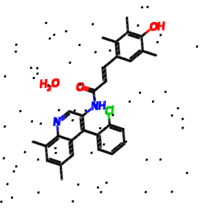 Cc1cc(C)c2ncc(NC(=O)C=Cc3cc(C)c(O)c(C)c3C)c(-c3ccccc3Cl)c2c1.O